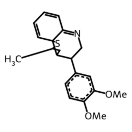 COc1ccc(C2CN=C3C=CC=CC34SC(C)CC24)cc1OC